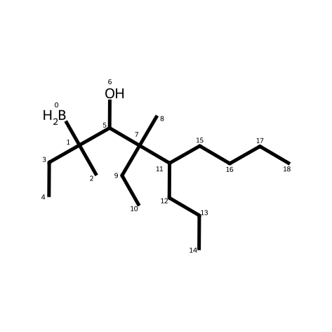 BC(C)(CC)C(O)C(C)(CC)C(CCC)CCCC